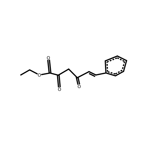 CCOC(=O)C(=O)CC(=O)C=Cc1ccccc1